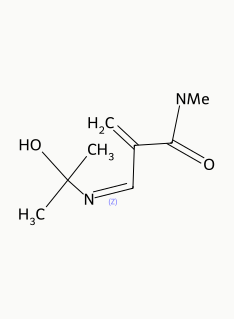 C=C(/C=N\C(C)(C)O)C(=O)NC